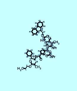 C=CCOC(=O)[C@@H](C)C[C@H](Cc1ccccc1)NC(=O)c1csc([C@@H](C[C@H](C(C)C)N(C)C(=O)[C@@H](NC(=O)OCC2c3ccccc3-c3ccccc32)[C@@H](C)CC)OC(=O)C(C)C)n1